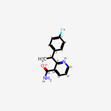 CC(c1ccc(F)cc1)c1ncccc1C(N)=O